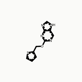 [c]1nc2nc(OCc3cccs3)ncc2[nH]1